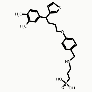 Cc1ccc(C(CCCOc2ccc(CNCCCP(=O)(O)O)cc2)c2ccsc2)cc1C